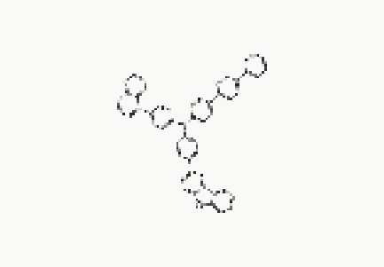 c1ccc(-c2ccc(-c3ccc(N(c4ccc(-c5ccc6oc7ccccc7c6c5)cc4)c4ccc(-c5cccc6ccccc56)cc4)cc3)cc2)cc1